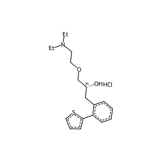 CCN(CC)CCOC[C@H](O)Cc1ccccc1-c1cccs1.Cl